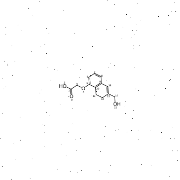 O=C(O)COc1cccc2c1CCC(CO)=C2